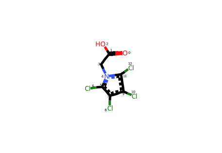 O=C(O)Cn1c(Cl)c(Cl)c(Cl)c1Cl